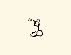 CC(=O)c1cc(C2CCCc3cncn32)co1